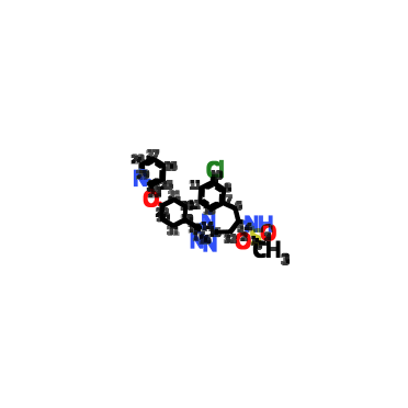 CS(=O)(=O)NC1Cc2cc(Cl)ccc2-n2c(nnc2C2CCC(Oc3ccccn3)CC2)C1